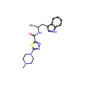 CCCCC(Cc1c[nH]c2ccccc12)NC(=O)c1nnc(N2CCN(C)CC2)s1